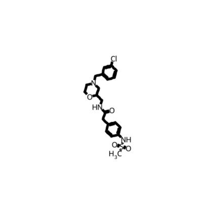 CS(=O)(=O)Nc1ccc(CC(=O)NCC2CN(Cc3cccc(Cl)c3)CCO2)cc1